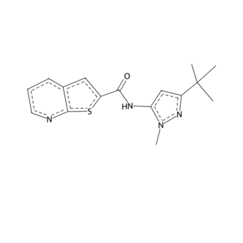 Cn1nc(C(C)(C)C)cc1NC(=O)c1cc2cccnc2s1